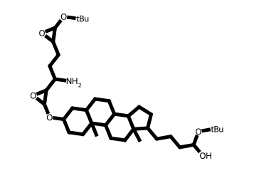 CC(C)(C)OC(O)CCCC1CCC2C3CCC4CC(OC5OC5C(N)CCC5OC5OC(C)(C)C)CCC4(C)C3CCC12C